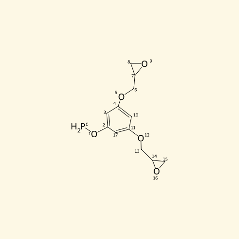 POc1cc(OCC2CO2)cc(OCC2CO2)c1